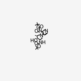 C[C@H]1CN(c2ccncc2N(C=O)C(=O)OC(C)(C)C)C[C@@H](NC(=O)OC(C)(C)C)[C@@H]1O